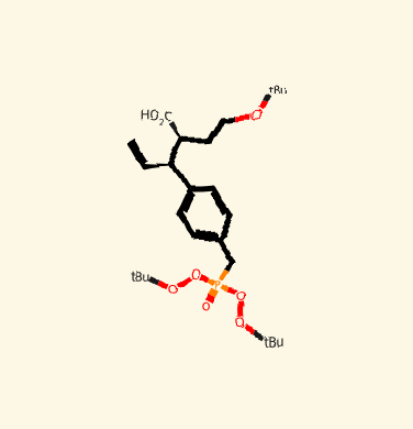 C=C[C@H](c1ccc(CP(=O)(OOC(C)(C)C)OOC(C)(C)C)cc1)[C@H](CCOC(C)(C)C)C(=O)O